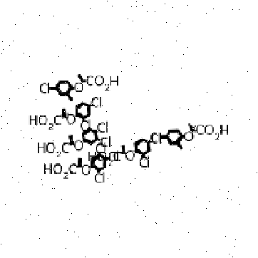 CC(Oc1cc(Cl)c(Cl)cc1Cl)C(=O)O.CC(Oc1ccc(Cl)c(Cl)c1)C(=O)O.CC(Oc1ccc(Cl)cc1Cl)C(=O)O.C[C@@H](Oc1ccc(Cl)cc1Cl)C(=O)O.Cc1cc(Cl)ccc1OC(C)C(=O)O.Cc1cc(Cl)ccc1O[C@H](C)C(=O)O